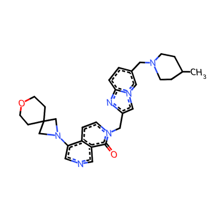 CC1CCN(Cc2ccc3nc(Cn4ccc5c(N6CC7(CCOCC7)C6)cncc5c4=O)cn3c2)CC1